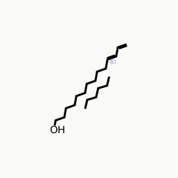 C=C/C=C/CCCCCCCCCCO.CCCCCC